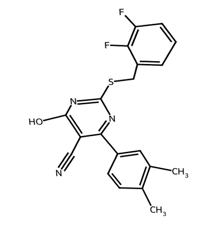 Cc1ccc(-c2nc(SCc3cccc(F)c3F)nc(O)c2C#N)cc1C